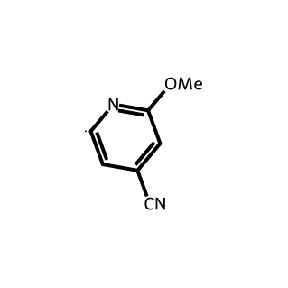 COc1cc(C#N)c[c]n1